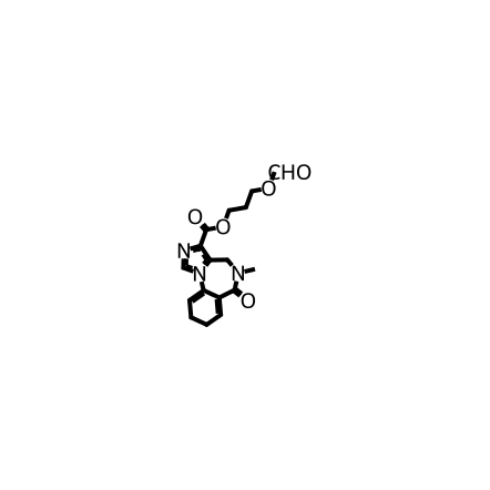 CN1Cc2c(C(=O)OCCCOC=O)ncn2C2=CCCC=C2C1=O